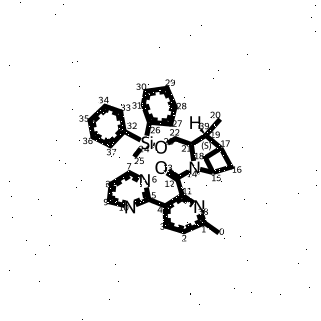 Cc1ccc(-c2ncccn2)c(C(=O)N2C3CC(C3)[C@H](C)C2CO[Si](C)(c2ccccc2)c2ccccc2)n1